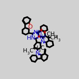 C/C=C1/CCCC2=C1N(C1CC(N3C4CCCCC4C(C)(C)C4CCCCC43)C(C3NC(C4CCCCC4)NC(C4CCCC5C6=CCCCC6OC54)N3)CC1C)C1CCCCC21